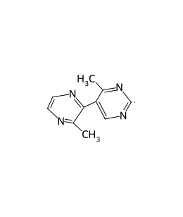 Cc1n[c]ncc1-c1nccnc1C